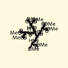 COCCCN(CCNC(=O)CCN(CCC(=O)NCCN(CCC(=O)OC)CCC(=O)OC)CCN(CCC(=O)NCCN(CCC(=O)OC)CCC(=O)OC)CCC(=O)NCCN(CCC(=O)OC)CCC(=O)OC)CCC(=O)OC